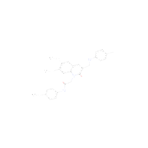 COc1ccc(NC(=O)Cn2c(=O)c(CNc3ccc(C)cc3)cc3cc(OC)c(OC)cc32)cc1